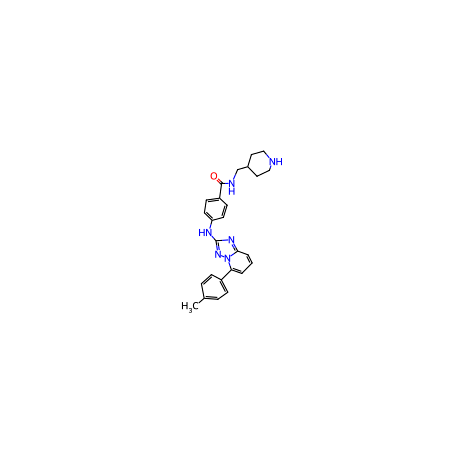 Cc1ccc(-c2cccc3nc(Nc4ccc(C(=O)NCC5CCNCC5)cc4)nn23)cc1